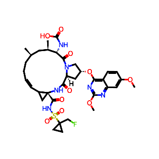 COc1ccc2c(O[C@@H]3C[C@H]4C(=O)N[C@]5(C(=O)NS(=O)(=O)C6(CF)CC6)CC5/C=C\CC[C@@H](C)C[C@@H](C)[C@H](NC(=O)O)C(=O)N4C3)nc(OC)nc2c1